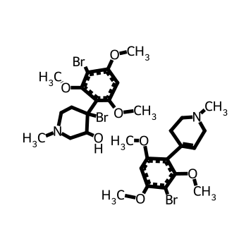 COc1cc(OC)c(C2(Br)CCN(C)CC2O)c(OC)c1Br.COc1cc(OC)c(C2=CCN(C)CC2)c(OC)c1Br